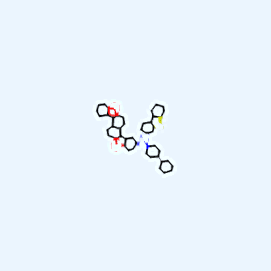 c1ccc(-c2ccc(N(c3ccc4c(c3)sc3ccccc34)c3ccc4oc5ccc6c(ccc7oc8ccccc8c76)c5c4c3)cc2)cc1